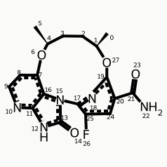 C[C@@H]1CC[C@H](C)Oc2ccnc3[nH]c(=O)n(c23)-c2nc(c(C(N)=O)cc2F)O1